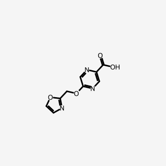 O=C(O)c1cnc(OCc2ncco2)cn1